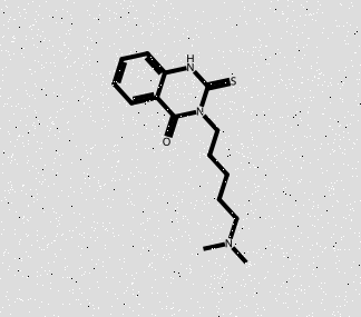 CN(C)CCCCCn1c(=S)[nH]c2ccccc2c1=O